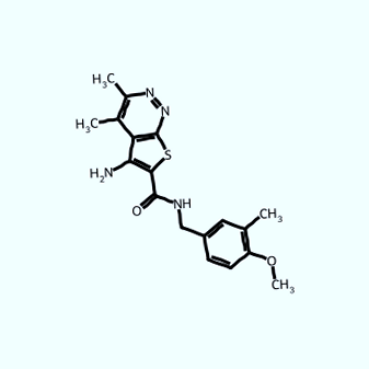 COc1ccc(CNC(=O)c2sc3nnc(C)c(C)c3c2N)cc1C